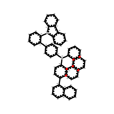 c1ccc(-c2ccccc2N(c2ccc(-c3ccccc3-n3c4ccccc4c4ccccc43)cc2)c2ccc(-c3cccc4ccccc34)cc2-c2ccccc2)cc1